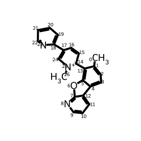 Cc1ccc2c(oc3ncccc32)c1-c1ccc(-c2ccccn2)c[n+]1C